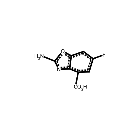 Nc1nc2c(C(=O)O)cc(F)cc2o1